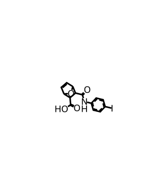 O=C(O)C1C2C=CC(O2)C1C(=O)Nc1ccc(I)cc1